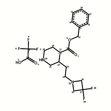 O=C(O)C(F)(F)F.O=C(OCc1ccccc1)N1CCNCC1CCN1CC(F)(F)C1